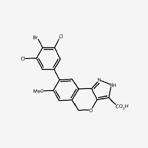 COc1cc2c(cc1-c1cc(Cl)c(Br)c(Cl)c1)-c1n[nH]c(C(=O)O)c1OC2